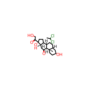 CC(Cl)Cl.C[C@]12CC[C@@H](O)C[C@H]1CC[C@@H]1[C@@H]2C(=O)C[C@@]2(C)[C@H]1CC[C@]2(O)C(=O)CO